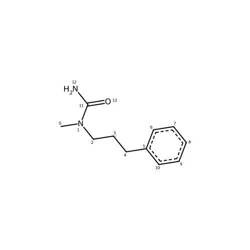 CN(C[CH]Cc1ccccc1)C(N)=O